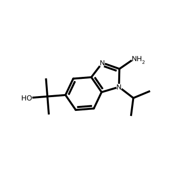 CC(C)n1c(N)nc2cc(C(C)(C)O)ccc21